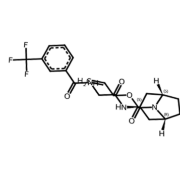 C=CCOC(=O)N1[C@@H]2CC[C@H]1C[C@H](NC(=O)CNC(=O)c1cccc(C(F)(F)F)c1)C2